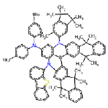 Cc1cc2c(cc1N1c3cc4c(cc3B3c5cc6c(cc5N(c5cccc7c5sc5ccccc57)c5cc(N(c7ccc(C(C)(C)C)cc7)c7ccc(C(C)(C)C)cc7)cc1c53)C(C)(C)c1ccccc1C6(C)C)C(C)(C)c1ccccc1C4(C)C)C(C)(C)CC2(C)C